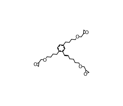 C(=Cc1cc(CCCCOCC2CO2)ccc1CCCCOCC1CO1)CCCCOCC1CO1